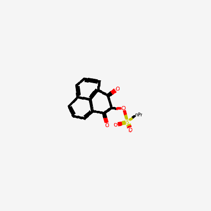 CCCS(=O)(=O)OC1C(=O)c2cccc3cccc(c23)C1=O